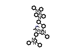 C=C(/C=C\C)N(C)c1ccc(-c2cc(-c3ccccc3)nc(-c3ccccc3)n2)cc1-c1cc(-c2ccccc2)nc(-c2cccc(-c3cccc(N4c5ccccc5B5c6ccccc6N(c6ccccc6)c6cccc4c65)c3)c2)n1